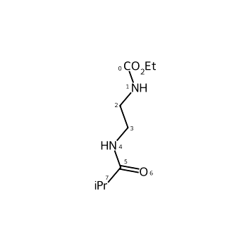 CCOC(=O)NCCNC(=O)C(C)C